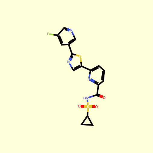 O=C(NS(=O)(=O)C1CC1)c1cccc(-c2cnc(-c3cncc(F)c3)s2)n1